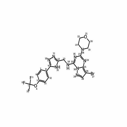 FC(F)(F)Oc1ccc(-c2nnc(CNc3nc(N4CCOCC4)nc4c(Br)cnn34)[nH]2)cc1